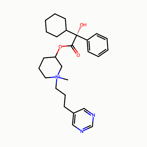 C[N+]1(CCCc2cncnc2)CCCC(OC(=O)[C@](O)(c2ccccc2)C2CCCCC2)C1